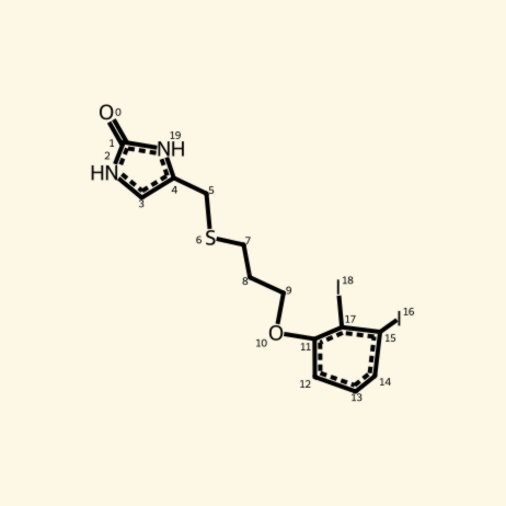 O=c1[nH]cc(CSCCCOc2cccc(I)c2I)[nH]1